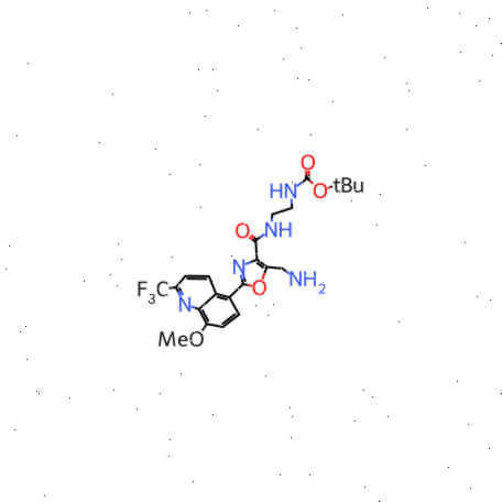 COc1ccc(-c2nc(C(=O)NCCNC(=O)OC(C)(C)C)c(CN)o2)c2ccc(C(F)(F)F)nc12